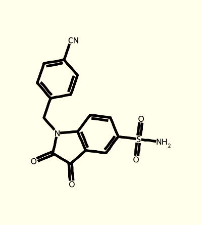 N#Cc1ccc(CN2C(=O)C(=O)c3cc(S(N)(=O)=O)ccc32)cc1